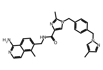 Cc1cnn(Cc2ccc(Cn3cc(C(=O)NCc4ccc5c(N)nccc5c4C)nc3C)cc2)c1